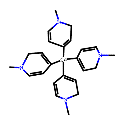 CN1C=C[C]([Cu]([C]2=CCN(C)C=C2)([C]2=CCN(C)C=C2)[C]2=CCN(C)C=C2)=CC1